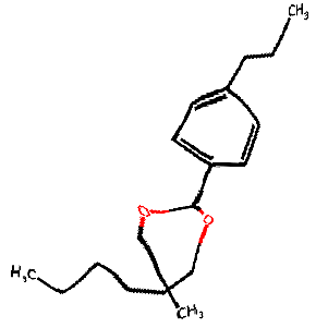 CCCCC1(C)COC(c2ccc(CCC)cc2)OC1